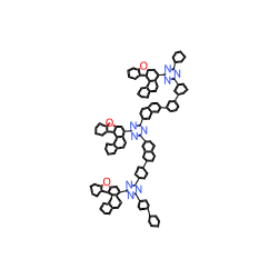 c1ccc(-c2ccc(-c3nc(-c4ccc(-c5ccc6ccc(-c7nc(-c8ccc9ccc(-c%10cccc(-c%11cccc(-c%12nc(-c%13ccccc%13)nc(-c%13cc%14oc%15ccccc%15c%14c%14c%13ccc%13ccccc%13%14)n%12)c%11)c%10)cc9c8)nc(-c8cc9oc%10ccccc%10c9c9c8ccc8ccccc89)n7)cc6c5)cc4)nc(-c4cc5oc6ccccc6c5c5c4ccc4ccccc45)n3)cc2)cc1